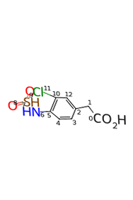 O=C(O)Cc1ccc(N[SH](=O)=O)c(Cl)c1